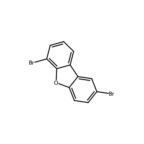 Brc1ccc2oc3c(Br)cccc3c2c1